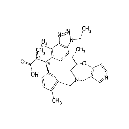 CCC1CN(Cc2cc([C@H](c3ccc4c(nnn4CC)c3C)[C@H](C)C(=O)O)ccc2C)Cc2cnccc2O1